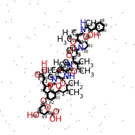 C=CC(C)CC(OC(=O)N(C)[C@H](C(=O)N[C@H](C(=O)N(C)[C@@H]([C@@H](C)CC)[C@@H](CC(=O)N1CCC[C@H]1[C@H](OC)[C@@H](C)C(=O)N[C@H](C)[C@@H](O)c1ccccc1)OC)C(C)C)C(C)C)c1ccc(O[C@H]2C[C@@H](O)C[C@@H](C(=O)O)O2)c2cc(CCC(=O)O)sc12